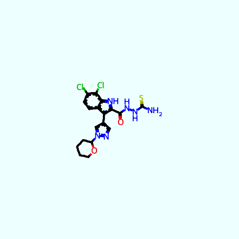 NC(=S)NNC(=O)c1[nH]c2c(Cl)c(Cl)ccc2c1-c1cnn(C2CCCCO2)c1